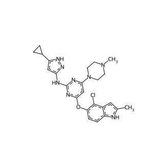 Cc1cc2c(Cl)c(Oc3cc(N4CCN(C)CC4)nc(Nc4cc(C5CC5)[nH]n4)n3)ccc2[nH]1